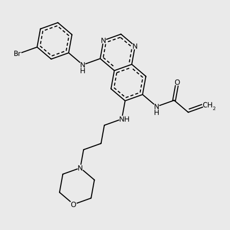 C=CC(=O)Nc1cc2ncnc(Nc3cccc(Br)c3)c2cc1NCCCN1CCOCC1